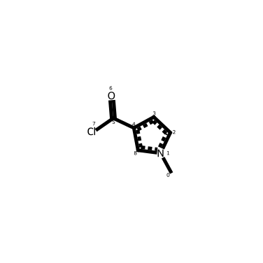 Cn1ccc(C(=O)Cl)c1